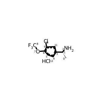 C[C@@H](N)c1ccc(OC(F)(F)F)c(Cl)c1.Cl